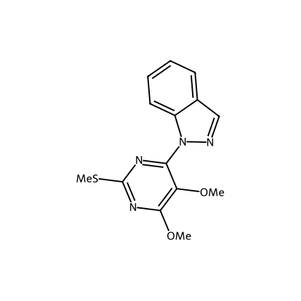 COc1nc(SC)nc(-n2ncc3ccccc32)c1OC